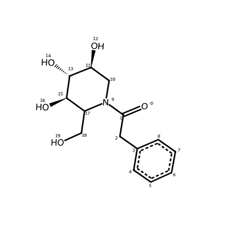 O=C(Cc1ccccc1)N1C[C@H](O)[C@@H](O)[C@H](O)C1CO